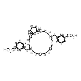 O=C(O)c1cccc(CN2CCOCCOCCN(Cc3cccc(C(=O)O)n3)CCO[C@@H]3CCC[C@H]3OCC2)n1